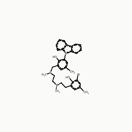 Cc1cc(Br)c(O)c(CCN(C)CCN(C)Cc2cc(C)cc(-n3c4ccccc4c4ccccc43)c2O)c1